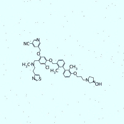 Cc1c(COc2cc(OCc3cncc(C#N)c3)c(CN(C)CCc3cscn3)cc2Cl)cccc1-c1cccc(OCCCN2CC[C@@H](O)C2)c1C